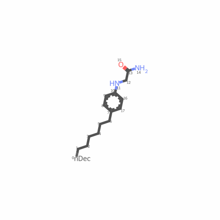 CCCCCCCCCCCCCCCCc1ccc(NCC(N)=O)cc1